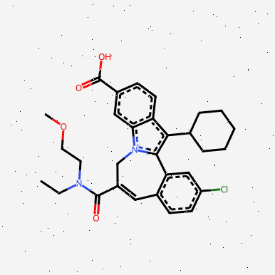 CCN(CCOC)C(=O)C1=Cc2ccc(Cl)cc2-c2c(C3CCCCC3)c3ccc(C(=O)O)cc3n2C1